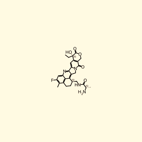 CC[C@@]1(O)C(=O)OCc2c1cc1n(c2=O)Cc2c-1nc1cc(F)c(C)c3c1c2[C@@H](CNC(=O)[C@H](C)N)CC3